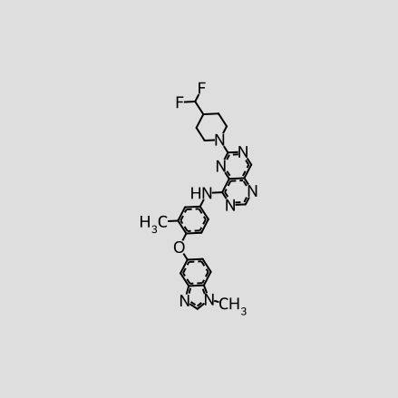 Cc1cc(Nc2ncnc3cnc(N4CCC(C(F)F)CC4)nc23)ccc1Oc1ccc2c(c1)ncn2C